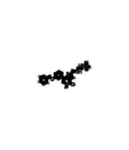 Cn1cc(-c2cccc(OCc3ccccc3)c2)c2sc(CNCCNS(C)(=O)=O)cc2c1=O